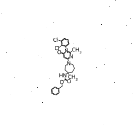 Cc1nc(N2CCCC(C)(NC(=O)OCc3ccccc3)CC2)cc(=O)n1-c1cccc(Cl)c1Cl